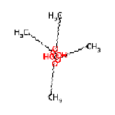 CCCCCCCCCCCCCCCCOC[C@@H](OCCCCCCCCCCCCCCCC)[C@@H](O)[C@H](O)[C@@H](COCCCCCCCCCCCCCCCC)OCCCCCCCCCCCCCCCC